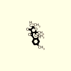 Cc1ccc(C2OC23C(=O)C(C)(C)OC3(C)C)c(C)c1